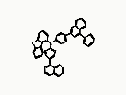 c1ccc(-c2cc(-c3ccc(N(c4ccc(-c5cccc6ccccc56)cc4)c4cccc5oc6ccccc6c45)cc3)cc3ccccc23)cc1